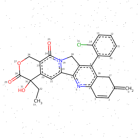 C=C1C=Cc2nc3c(c(-c4ccccc4Cl)c2C1)Cn1c-3cc2c(c1=O)COC(=O)C2(O)CC